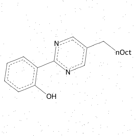 CCCCCCCCCc1cnc(-c2ccccc2O)nc1